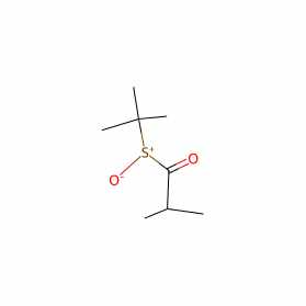 CC(C)C(=O)[S+]([O-])C(C)(C)C